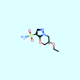 CCO[C@H]1COc2c(S(N)(=O)=O)cnn2C1